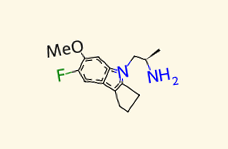 COc1cc2c(cc1F)c1c(n2C[C@@H](C)N)CCC1